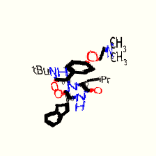 CC(C)C[C@@H]1C(=O)N[C@H](C2Cc3ccccc3C2)C(=O)N1[C@@H](C(=O)NC(C)(C)C)c1ccc(OCCN(C)C)cc1